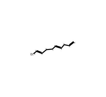 [CH]=CCC=CCCC=CCC